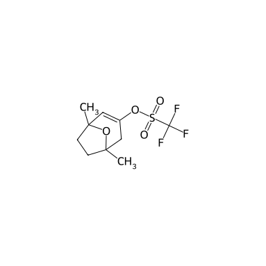 CC12C=C(OS(=O)(=O)C(F)(F)F)CC(C)(CC1)O2